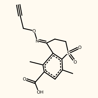 C#CCON=C1CCS(=O)(=O)c2c(C)cc(C(=O)O)c(C)c21